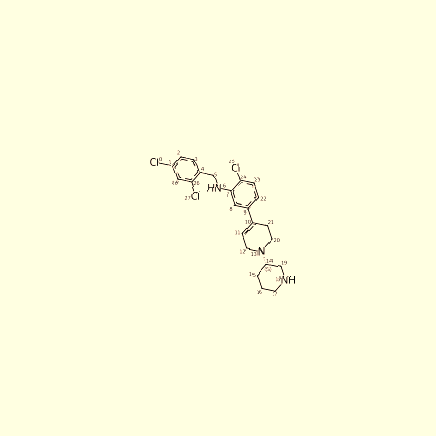 Clc1ccc(CNc2cc(C3=CCN([C@H]4CCCNC4)CC3)ccc2Cl)c(Cl)c1